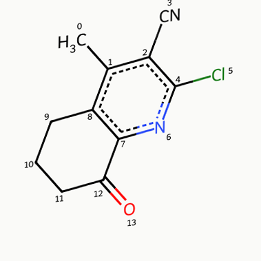 Cc1c(C#N)c(Cl)nc2c1CCCC2=O